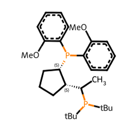 COc1ccccc1P(c1ccccc1OC)[C@H]1CCC[C@H]1C(C)P(C(C)(C)C)C(C)(C)C